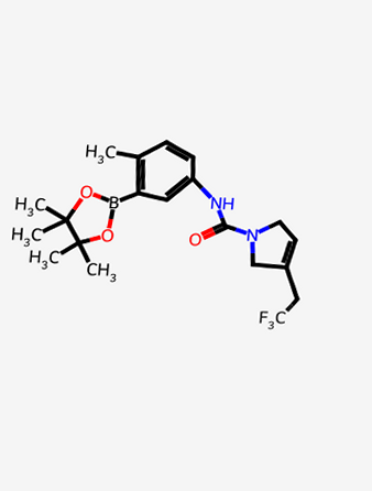 Cc1ccc(NC(=O)N2CC=C(CC(F)(F)F)C2)cc1B1OC(C)(C)C(C)(C)O1